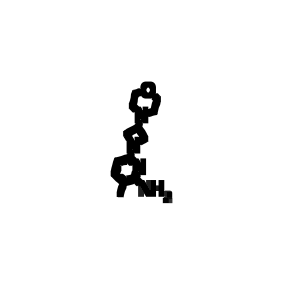 Cc1ccc(N2CC(N3CCOCC3)C2)nc1N